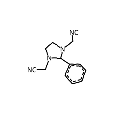 [C-]#[N+]CN1CCN(CC#N)C1c1ccccc1